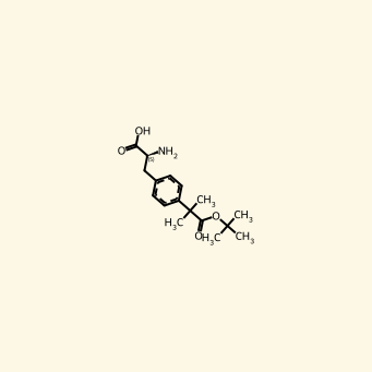 CC(C)(C)OC(=O)C(C)(C)c1ccc(C[C@H](N)C(=O)O)cc1